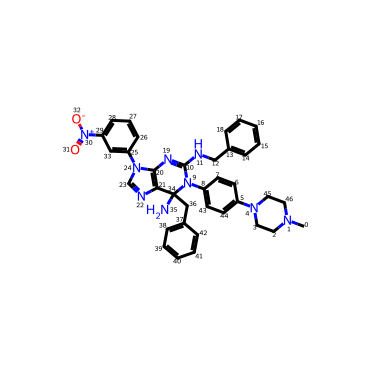 CN1CCN(c2ccc(N3C(NCc4ccccc4)=Nc4c(ncn4-c4cccc([N+](=O)[O-])c4)C3(N)Cc3ccccc3)cc2)CC1